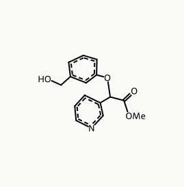 COC(=O)C(Oc1cccc(CO)c1)c1cccnc1